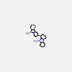 Cn1c2c(c3cc(-c4cccc5c6ccccc6n(C)c45)ccc31)CCC=C2